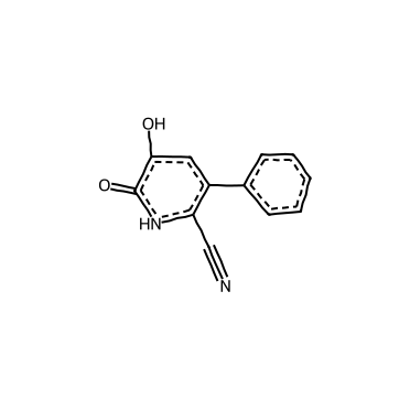 N#Cc1[nH]c(=O)c(O)cc1-c1ccccc1